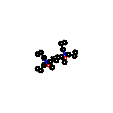 CC1(C)c2cc(N(c3ccc(-c4cccc5ccccc45)cc3)c3ccc(-c4cccc5ccccc45)cc3)c3oc4ccccc4c3c2-c2ccc3c(c21)C(C)(C)c1cc(N(c2ccc(-c4cccc5ccccc45)cc2)c2ccc(-c4cccc5ccccc45)cc2)c2oc4ccccc4c2c1-3